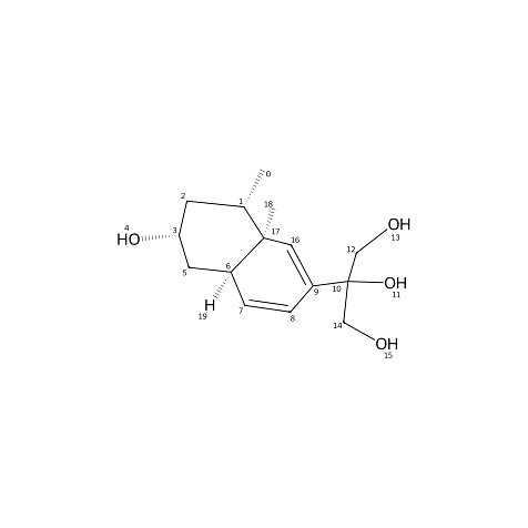 C[C@H]1C[C@@H](O)C[C@@H]2C=CC(C(O)(CO)CO)=C[C@]12C